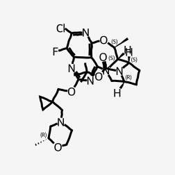 C[C@@H]1CN(CC2(COc3nc4c5c(nc(Cl)c(F)c5n3)O[C@@H](C)[C@@H]3[C@@H]5CC[C@H](CN43)N5C(=O)OC(C)(C)C)CC2)CCO1